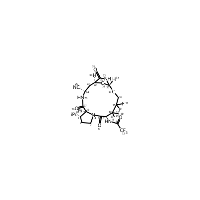 CC(C)[C@H]1CCN2C(=O)[C@@H](NC(=O)C(F)(F)F)C(C)(C)C(F)(F)CC[C@@H]3C[C@@H](C[C@@H](C#N)NC(=O)[C@H]12)C(=O)N3